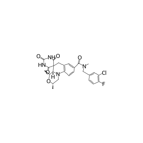 C[C@@H]1CN2c3ccc(C(=O)N(C)Cc4ccc(F)c(Cl)c4)cc3CC3(C(=O)NC(=O)NC3=O)[C@H]2[C@H](C)O1